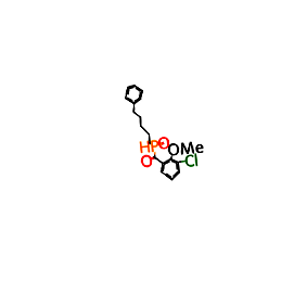 COc1c(Cl)cccc1C(=O)[PH](=O)CCCCCc1ccccc1